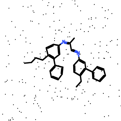 CCCCc1ccc(N=C(C)C=Nc2ccc(CC)c(-c3ccccc3)c2)cc1-c1ccccc1